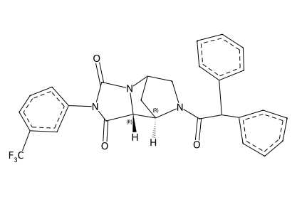 O=C1[C@H]2[C@H]3CC(CN3C(=O)C(c3ccccc3)c3ccccc3)N2C(=O)N1c1cccc(C(F)(F)F)c1